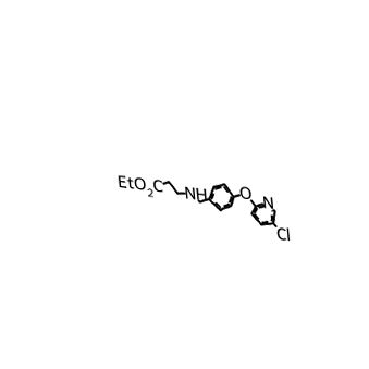 CCOC(=O)CCNCc1ccc(Oc2ccc(Cl)cn2)cc1